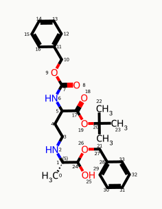 C[C@H](NCCC(NC(=O)OCc1ccccc1)C(=O)OC(C)(C)C)C(O)OCc1ccccc1